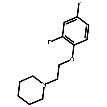 [CH2]c1ccc(OCCN2CCCCC2)c(F)c1